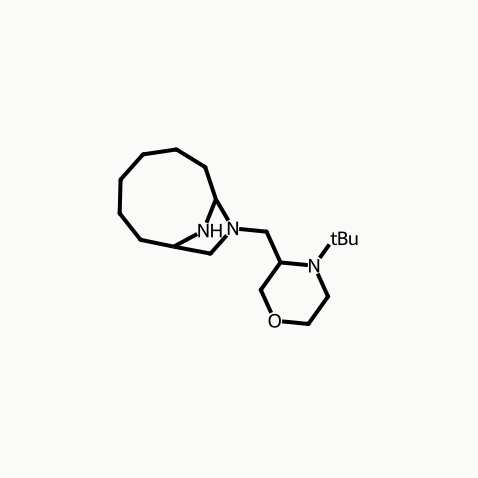 CC(C)(C)N1CCOCC1CN1CC2CCCCCCC1N2